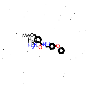 COCC(C)/C=C\C(C(=O)NCc1ccc(Oc2ccccc2)cc1)=C(/C)N